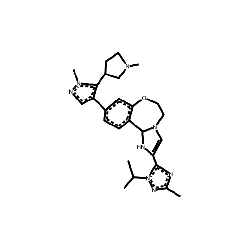 Cc1nc(C2=CN3CCOc4cc(-c5cnn(C)c5C5CCN(C)C5)ccc4C3N2)n(C(C)C)n1